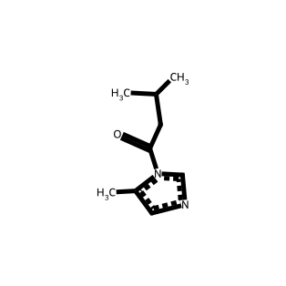 Cc1cncn1C(=O)CC(C)C